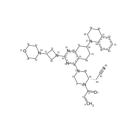 C=CC(=O)N1CCN(c2nc(N3CC(N4CCOCC4)C3)nc3c2CCC(N2CCCc4ccccc42)C3)C[C@@H]1CC#N